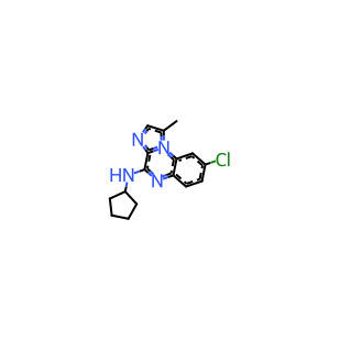 Cc1cnc2c(NC3CCCC3)nc3ccc(Cl)cc3n12